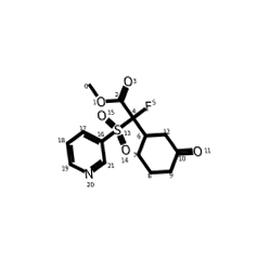 COC(=O)C(F)(C1CCCC(=O)C1)S(=O)(=O)c1cccnc1